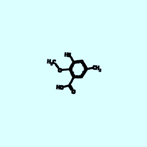 COc1c(S)cc(C)cc1C(=O)O